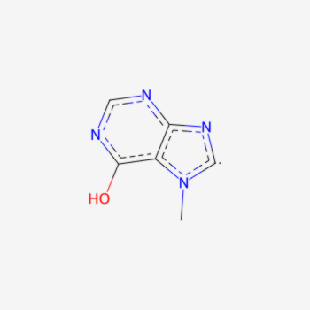 Cn1[c]nc2ncnc(O)c21